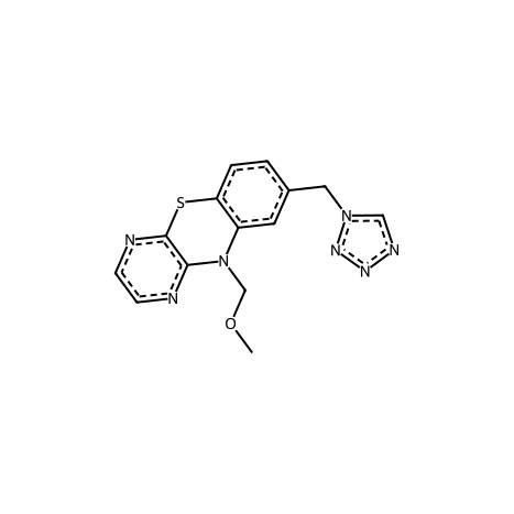 COCN1c2cc(Cn3cnnn3)ccc2Sc2nccnc21